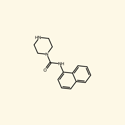 O=C(Nc1cccc2ccccc12)N1CCNCC1